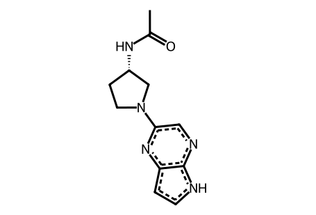 CC(=O)N[C@H]1CCN(c2cnc3[nH]ccc3n2)C1